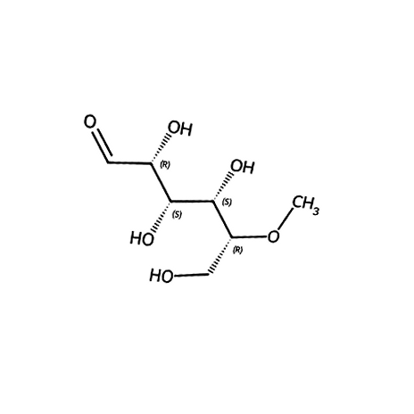 CO[C@H](CO)[C@@H](O)[C@H](O)[C@@H](O)C=O